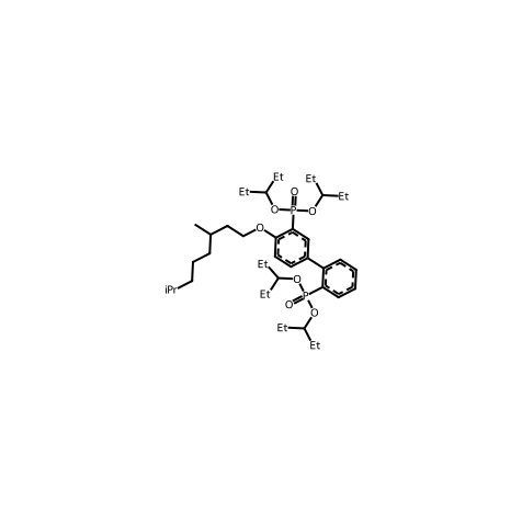 CCC(CC)OP(=O)(OC(CC)CC)c1cc(-c2ccccc2P(=O)(OC(CC)CC)OC(CC)CC)ccc1OCCC(C)CCCC(C)C